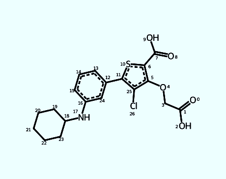 O=C(O)COc1c(C(=O)O)sc(-c2cccc(NC3CCCCC3)c2)c1Cl